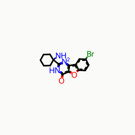 NC1(c2nc3c(oc4ccc(Br)cc43)c(=O)[nH]2)CCCCC1